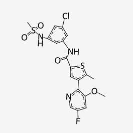 COc1cc(F)cnc1-c1cc(C(=O)Nc2cc(Cl)cc(NS(C)(=O)=O)c2)sc1C